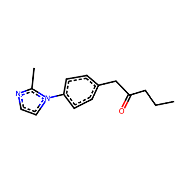 CCCC(=O)Cc1ccc(-n2ccnc2C)cc1